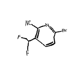 N#Cc1nc(Br)ccc1C(F)F